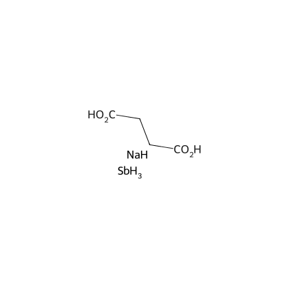 O=C(O)CCC(=O)O.[NaH].[SbH3]